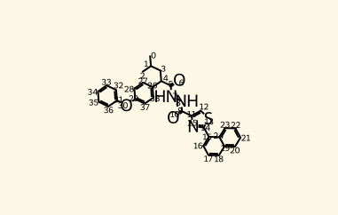 CC(C)CC(C(=O)NNC(=O)c1csc(-c2cccc3ccccc23)n1)c1ccc(Oc2ccccc2)cc1